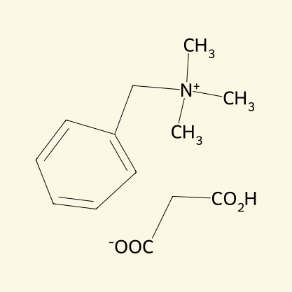 C[N+](C)(C)Cc1ccccc1.O=C([O-])CC(=O)O